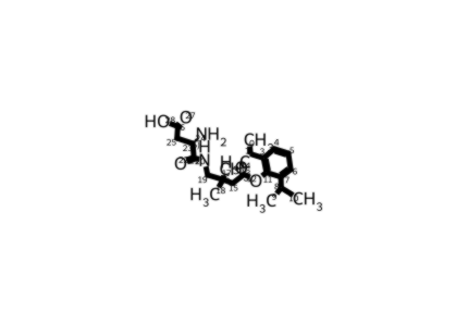 CC(C)c1cccc(C(C)C)c1OC(=O)CC(C)(C)CNC(=O)[C@@H](N)CC(=O)O